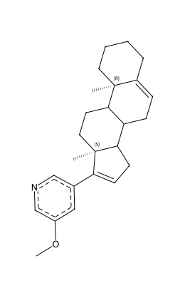 COc1cncc(C2=CCC3C4CC=C5CCCC[C@]5(C)C4CC[C@]23C)c1